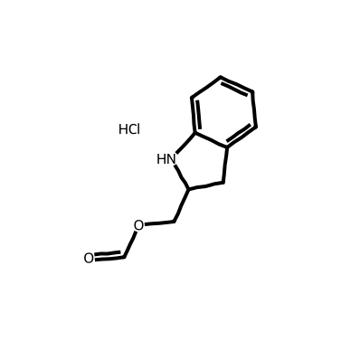 Cl.O=COCC1Cc2ccccc2N1